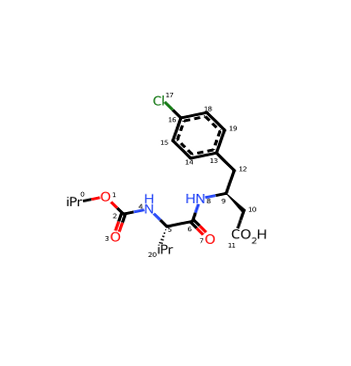 CC(C)OC(=O)N[C@H](C(=O)N[C@H](CC(=O)O)Cc1ccc(Cl)cc1)C(C)C